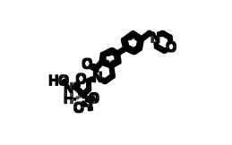 C[C@@](CCN1CCc2cc(-c3ccc(CN4CCOCC4)cc3)ccc2C1=O)(C(=O)NO)S(C)(=O)=O